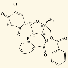 Cc1cn([C@@H]2O[C@](C)(COC(=O)c3ccccc3)[C@@H](OC(=O)c3ccccc3)[C@@H]2F)c(=O)[nH]c1=O